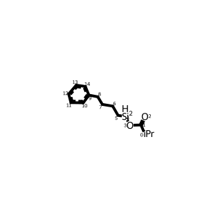 CC(C)C(=O)O[SiH2]CCCCc1ccccc1